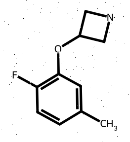 Cc1ccc(F)c(OC2C[N]C2)c1